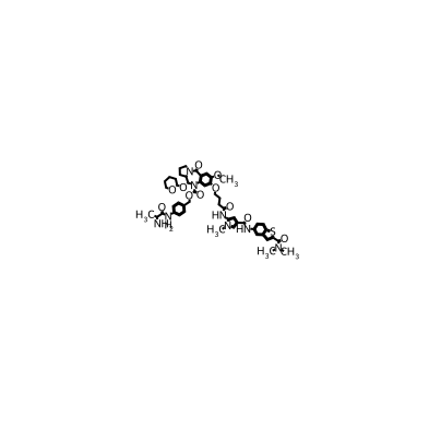 COc1cc2c(cc1OCCCC(=O)Nc1cc(C(=O)Nc3ccc4sc(C(=O)N(C)C)cc4c3)cn1C)N(C(=O)OCc1ccc(NC(=O)C(C)N)cc1)C(OC1CCCCO1)C1CCCN1C2=O